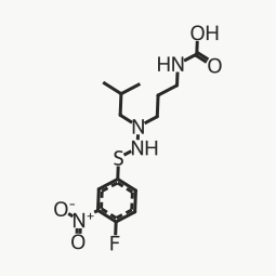 CC(C)CN(CCCNC(=O)O)NSc1ccc(F)c([N+](=O)[O-])c1